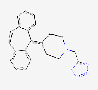 C1=Cc2ccccc2C(=C2CCN(Cc3nnn[nH]3)CC2)c2ccccc21